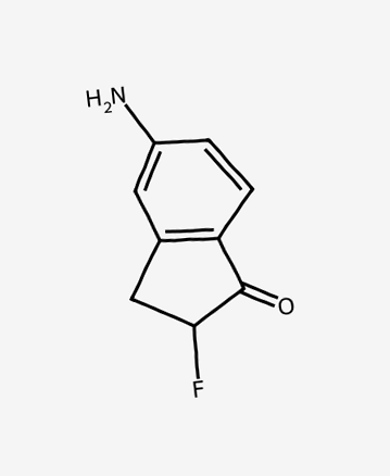 Nc1ccc2c(c1)CC(F)C2=O